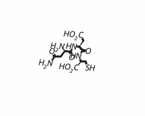 NC(=O)C[C@H](N)C(=O)N[C@@H](CC(=O)O)C(=O)N[C@@H](CS)C(=O)O